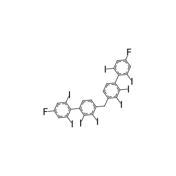 Fc1cc(I)c(-c2ccc(Cc3ccc(-c4c(I)cc(F)cc4I)c(I)c3I)c(I)c2I)c(I)c1